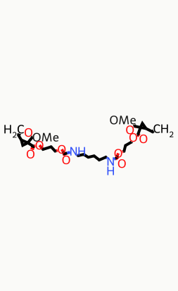 C=CC1CC1(C(=O)OC)C(=O)OCCCOC(=O)NCCCCCCNC(=O)OCCCOC(=O)C1(C(=O)OC)CC1C=C